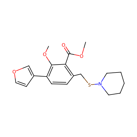 COC(=O)c1c(CSN2CCCCC2)ccc(-c2ccoc2)c1OC